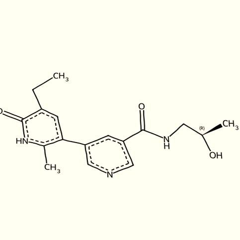 CCc1cc(-c2cncc(C(=O)NC[C@@H](C)O)c2)c(C)[nH]c1=O